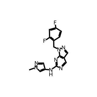 Cn1cc(Nc2ncc3cnn(Cc4ccc(F)cc4F)c3n2)cn1